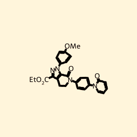 CCOC(=O)c1nn(-c2ccc(OC)cc2)c2c1CCN(c1ccc(-n3ccccc3=O)cc1)C2=O